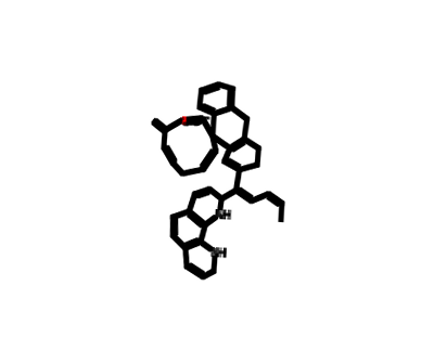 C=C1/C=C\CC=CC2(C3=C(CCC(/C(=C\C=C/C)C4C=Cc5ccc6c(c5N4)NCC=C6)=C3)Cc3ccccc32)c2ccccc21